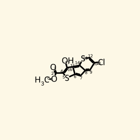 COC(=O)c1sc2cc3cc(Cl)csc-3c2c1O